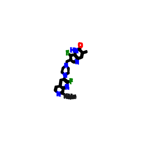 CNc1nccc2cc(N3CCN(Cc4cnc5cc(C)c(=O)[nH]c5c4F)CC3)c(F)nc12